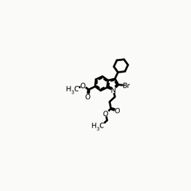 CCOC(=O)CCn1c(Br)c(C2CCCCC2)c2ccc(C(=O)OC)cc21